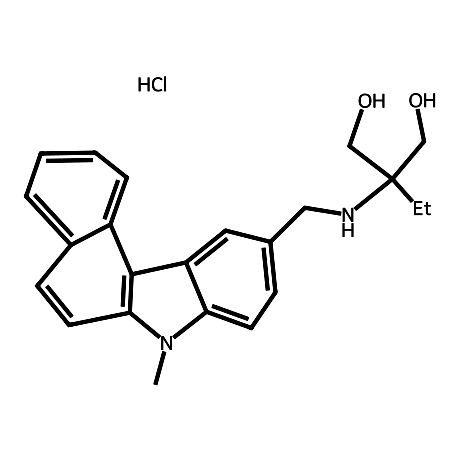 CCC(CO)(CO)NCc1ccc2c(c1)c1c3ccccc3ccc1n2C.Cl